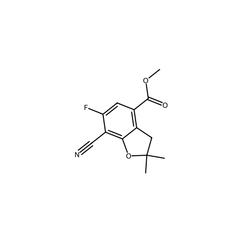 COC(=O)c1cc(F)c(C#N)c2c1CC(C)(C)O2